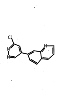 Clc1cc(-c2ccc3cccnc3c2)cnn1